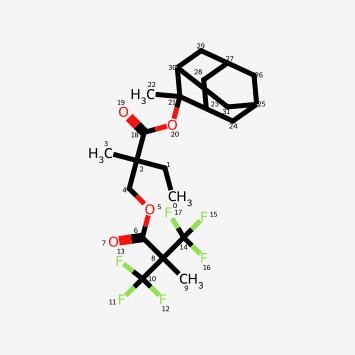 CCC(C)(COC(=O)C(C)(C(F)(F)F)C(F)(F)F)C(=O)OC1(C)C2CC3CC(C2)CC1C3